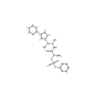 CCC(NC(=O)C(N)CS(=O)(=O)Cc1ccccc1)C(O)c1nc(-c2ccccc2)no1